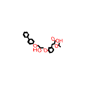 CC(C)OC(Cc1cccc(OCC(O)COc2ccc(-c3ccccc3)cc2)c1)C(=O)O